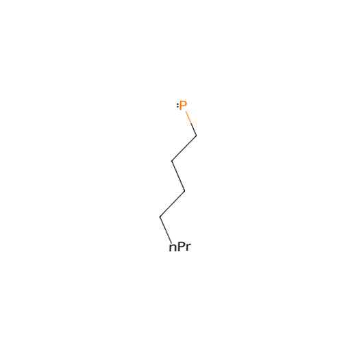 CCCCCCC[P]